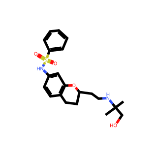 CC(C)(CO)NCCC1CCc2ccc(NS(=O)(=O)c3ccccc3)cc2O1